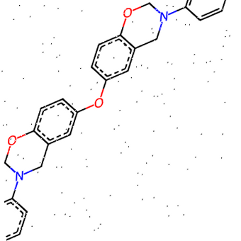 C1=CC(N2COc3ccc(Oc4ccc5c(c4)CN(c4ccccc4)CO5)cc3C2)=CCC1